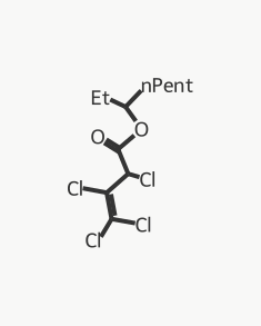 CCCCCC(CC)OC(=O)C(Cl)C(Cl)=C(Cl)Cl